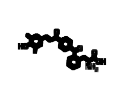 Cc1cc(C=CC(=O)c2ccc(C(=O)c3ccccc3C[C@H](N)C(=O)O)cc2)cc(C)c1O